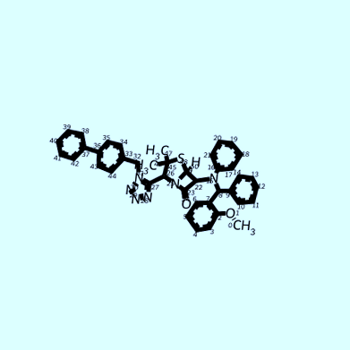 COc1ccccc1C(c1ccccc1)N(c1ccccc1)C1C(=O)N2C(c3nnnn3Cc3ccc(-c4ccccc4)cc3)C(C)(C)S[C@H]12